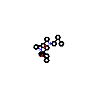 c1ccc(-c2ccccc2-c2cccc(N(c3ccc(-c4cccc5c4ccc4ccccc45)cc3)c3ccccc3-c3ccc4c(c3)c3ccccc3n4-c3ccccc3)c2)cc1